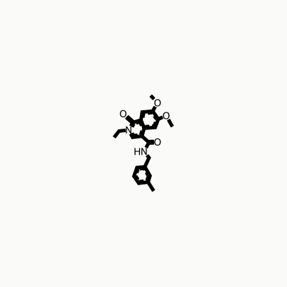 CCn1cc(C(=O)NCc2cccc(C)c2)c2cc(OC)c(OC)cc2c1=O